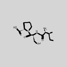 CC[C@H](C)[C@H](N)C(=O)N[C@@H](CO)C(=O)N1CCC[C@H]1C(=O)O